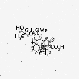 COc1cc2c(cc1OCC(C)(C)CO)[C@@H]1CCCC(C)(C)[C@@H]1n1cc(C(=O)O)c(=O)cc1-2